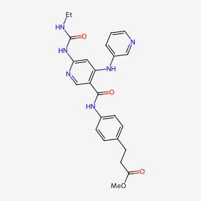 CCNC(=O)Nc1cc(Nc2cccnc2)c(C(=O)Nc2ccc(CCC(=O)OC)cc2)cn1